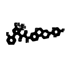 Cc1cc(-c2ccccc2F)c(C(=O)C(=O)Nc2ccc3c(c2)OCC2CN(c4ncc(F)cn4)CCN32)n1C